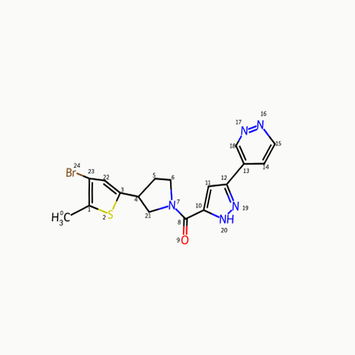 Cc1sc(C2CCN(C(=O)c3cc(-c4ccnnc4)n[nH]3)C2)cc1Br